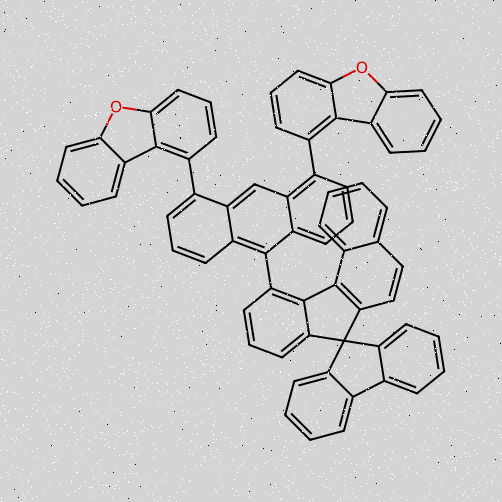 c1ccc2c(c1)-c1ccccc1C21c2cccc(-c3c4cccc(-c5cccc6oc7ccccc7c56)c4cc4c(-c5cccc6oc7ccccc7c56)cccc34)c2-c2c1ccc1ccccc21